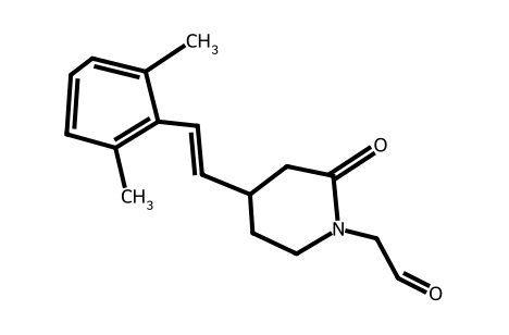 Cc1cccc(C)c1C=CC1CCN(CC=O)C(=O)C1